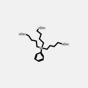 CCCCCCCCCCCCC[CH2][Sn]([CH2]CCCCCCCCCCCCC)([CH2]CCCCCCCCCCCCC)[c]1ccccc1